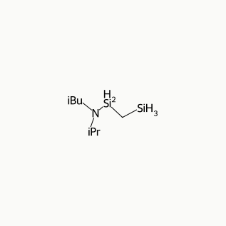 CCC(C)N([SiH2]C[SiH3])C(C)C